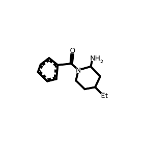 CCC1CCN(C(=O)c2ccccc2)C(N)C1